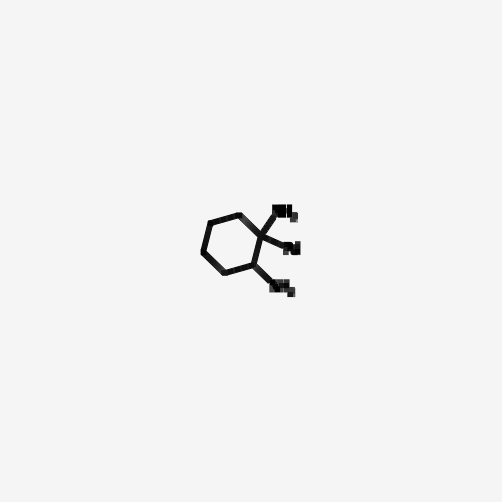 NC1CCCC[C]1(N)[Pd]